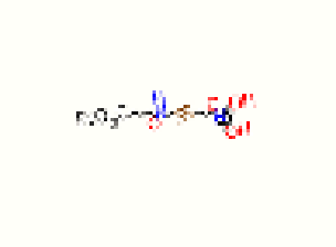 CCOC(=O)CCCCC(=O)NCCSSCCCC(=O)N1C[C@H](O)C[C@H]1CO